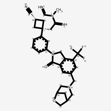 CN(C=N)C(=N)C[C@]1(c2cccc(N3Cc4c(cc(CN5CC6COC(C6)C5)cc4C(F)(F)F)C3=O)c2)C[C@H](C#N)C1